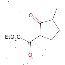 CCOC(=O)C(=O)C1CCC(C)C1=O